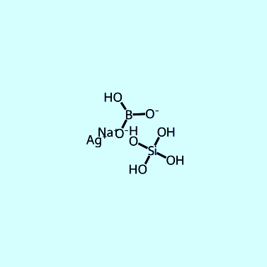 O[Si](O)(O)O.[Ag+].[Na+].[O-]B([O-])O